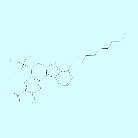 COCCOCCCOc1cccc2c3n(nc12)CC(C(C)(C)C)n1cc(C(=O)O)c(=O)cc1-3